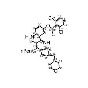 CCCCC/C(=C(\F)C(=N)c1cc(O[C@H](C)c2c(Cl)cncc2Cl)ccc1N)c1ccc(CN2CCOCC2)nc1